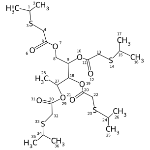 CC(C)SCC(=O)OCC(OC(=O)CSC(C)C)C(OC(=O)CSC(C)C)C(C)OC(=O)CSC(C)C